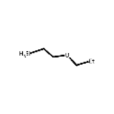 CCCOCC[SiH3]